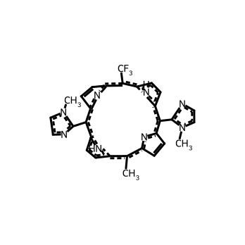 Cc1c2nc(c(-c3nccn3C)c3ccc([nH]3)c(C(F)(F)F)c3nc(c(-c4nccn4C)c4ccc1[nH]4)C=C3)C=C2